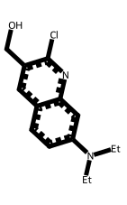 CCN(CC)c1ccc2cc(CO)c(Cl)nc2c1